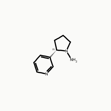 NN1CCC[C@H]1c1cccnc1